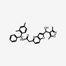 Cc1ccc([C@@H](NC(=O)Cc2ccc3oc(C(O)c4c(C)noc4C)cc3n2)c2ccccc2)c(C)c1